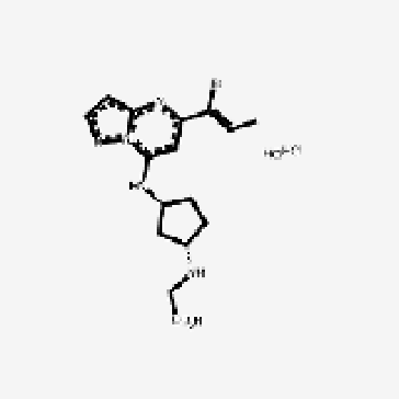 C/C=C(\CC)c1cc(N[C@H]2CC[C@H](NCC(=O)O)C2)n2nccc2n1.Cl.Cl